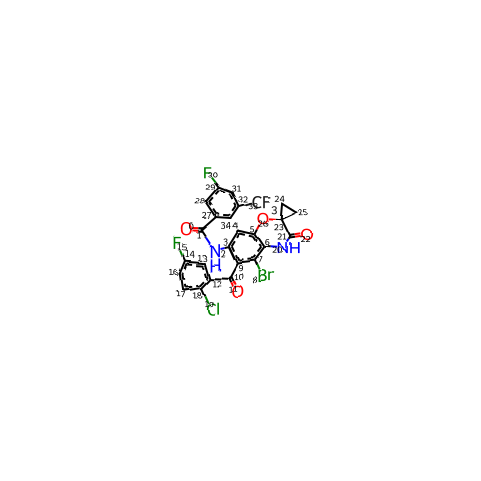 O=C(Nc1cc2c(c(Br)c1C(=O)c1cc(F)ccc1Cl)NC(=O)C1(CC1)O2)c1cc(F)cc(C(F)(F)F)c1